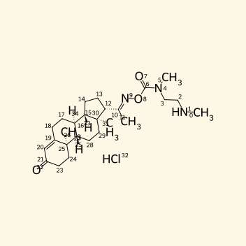 CNCCN(C)C(=O)O/N=C(\C)[C@H]1CC[C@H]2[C@@H]3CCC4=CC(=O)CC[C@]4(C)[C@H]3CC[C@]12C.Cl